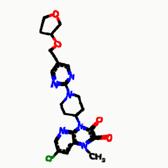 Cn1c(=O)c(=O)n(C2CCN(c3ncc(COC4CCOC4)cn3)CC2)c2ncc(Cl)cc21